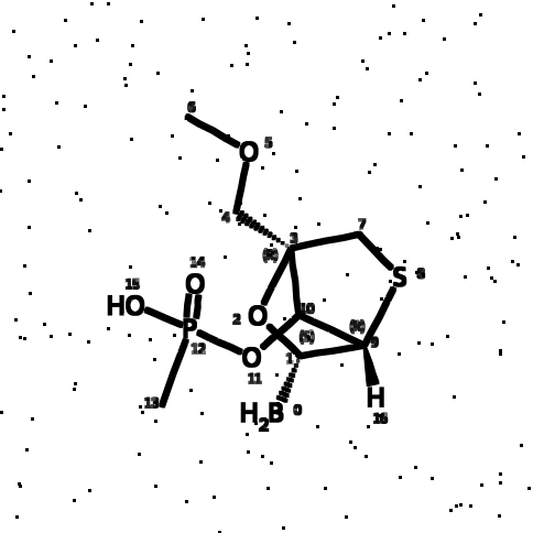 B[C@@H]1O[C@@]2(COC)CS[C@H]1C2OP(C)(=O)O